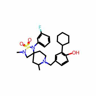 CC1CC2(CCN1Cc1ccc(O)c(C3CCCCC3)c1)CN(C)S(=O)(=O)N2c1cccc(F)c1